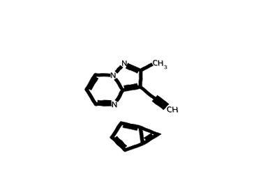 C#Cc1c(C)nn2cccnc12.c1cc2cc-2c1